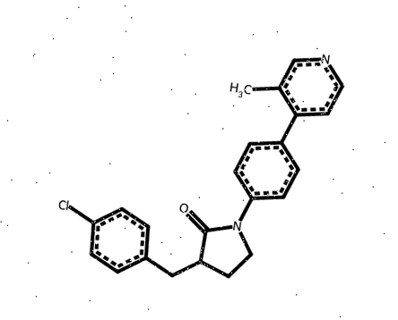 Cc1cnccc1-c1ccc(N2CCC(Cc3ccc(Cl)cc3)C2=O)cc1